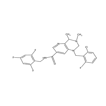 CC1c2ncc(C(=O)NCc3c(F)cc(F)cc3F)cc2N(Cc2c(F)cccc2Cl)CN1C